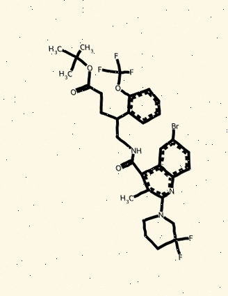 Cc1c(N2CCCC(F)(F)C2)nc2ccc(Br)cc2c1C(=O)NCC(CCC(=O)OC(C)(C)C)c1ccccc1OC(F)(F)F